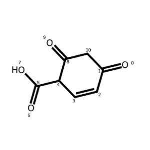 O=C1C=CC(C(=O)O)C(=O)C1